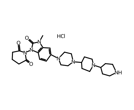 Cl.Cn1c(=O)n(N2C(=O)CCCC2=O)c2ccc(N3CCN(C4CCN(C5CCNCC5)CC4)CC3)cc21